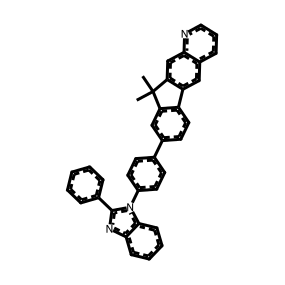 CC1(C)c2cc(-c3ccc(-n4c(-c5ccccc5)nc5ccccc54)cc3)ccc2-c2cc3cccnc3cc21